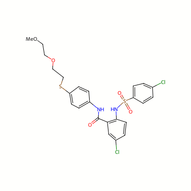 COCCOCCSc1ccc(NC(=O)c2cc(Cl)ccc2NS(=O)(=O)c2ccc(Cl)cc2)cc1